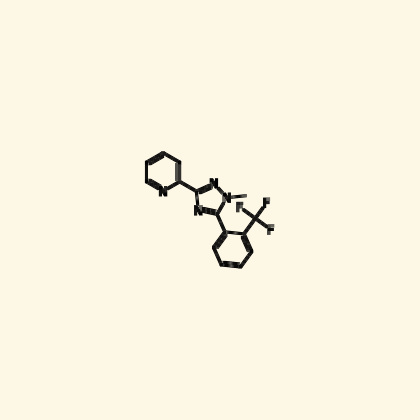 Cn1nc(-c2ccccn2)nc1-c1ccccc1C(F)(F)F